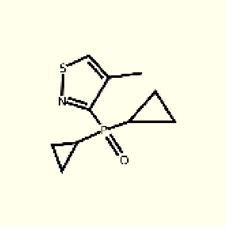 Cc1csnc1P(=O)(C1CC1)C1CC1